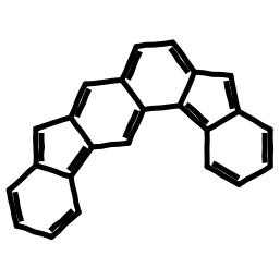 C1=c2ccccc2=c2cc3c4c(ccc3cc21)C=c1ccccc1=4